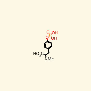 CNC(Cc1ccc(OP(=O)(O)O)cc1)C(=O)O